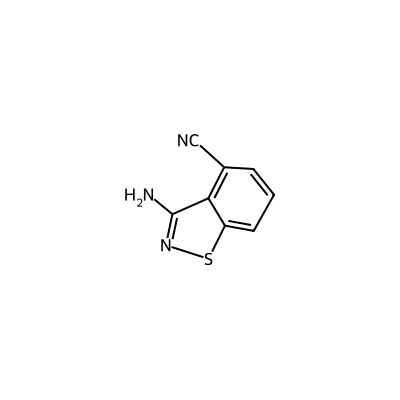 N#Cc1cccc2snc(N)c12